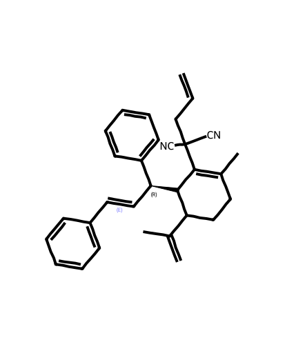 C=CCC(C#N)(C#N)C1=C(C)CCC(C(=C)C)C1[C@@H](/C=C/c1ccccc1)c1ccccc1